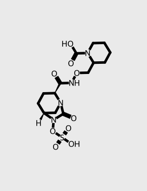 O=C(NOCC1CCCCN1C(=O)O)[C@@H]1CC[C@@H]2CN1C(=O)N2OS(=O)(=O)O